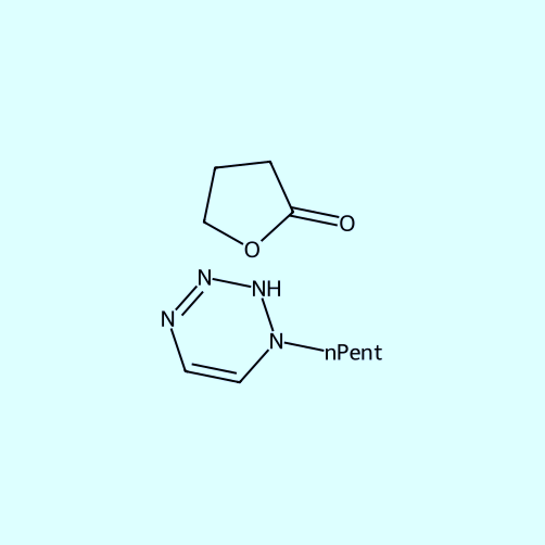 CCCCCN1C=CN=NN1.O=C1CCCO1